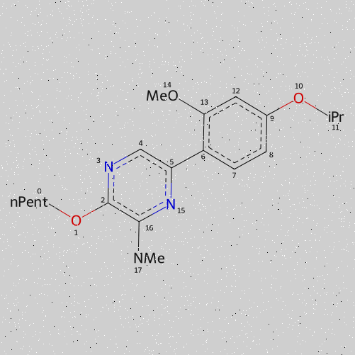 CCCCCOc1ncc(-c2ccc(OC(C)C)cc2OC)nc1NC